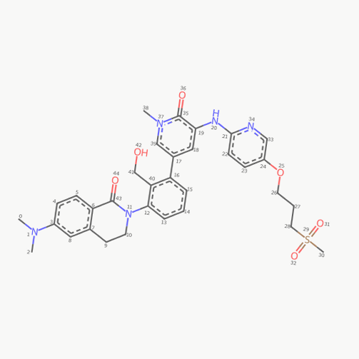 CN(C)c1ccc2c(c1)CCN(c1cccc(-c3cc(Nc4ccc(OCCCS(C)(=O)=O)cn4)c(=O)n(C)c3)c1CO)C2=O